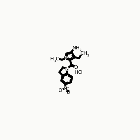 CCc1c(N)cn(CC)c1C(=O)N1CCc2cc([N+](=O)[O-])ccc21.Cl